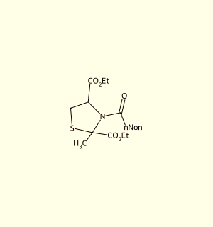 CCCCCCCCCC(=O)N1C(C(=O)OCC)CSC1(C)C(=O)OCC